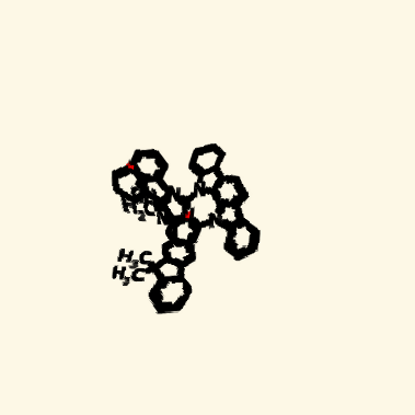 C=C(Cc1ccccc1C)c1cccc(-n2c3ccc#cc3c3ccc4c(c32)N(c2nc(C3=CC=CCC3)nc(-c3ccc5c(c3)C(C)(C)c3ccccc3-5)n2)C2=CC=CCC24)c1